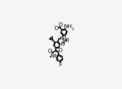 CNC(=O)c1c(-c2ccc(F)cc2)oc2cc(CN(c3ccc(N)c(C(=O)OC)c3)[SH](=O)=O)c(C3CC3)cc12